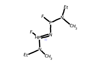 CCN(C)P(F)/N=[PH](\F)N(C)CC